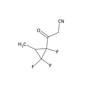 CC1C(F)(F)C1(F)C(=O)CC#N